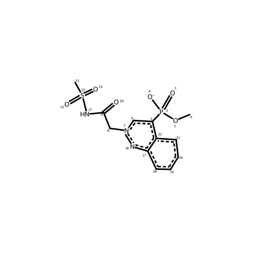 COP(=O)([O-])c1c[n+](CC(=O)NS(C)(=O)=O)nc2ccccc12